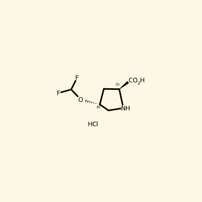 Cl.O=C(O)[C@@H]1C[C@@H](OC(F)F)CN1